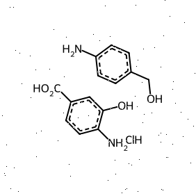 Cl.Nc1ccc(C(=O)O)cc1O.Nc1ccc(CO)cc1